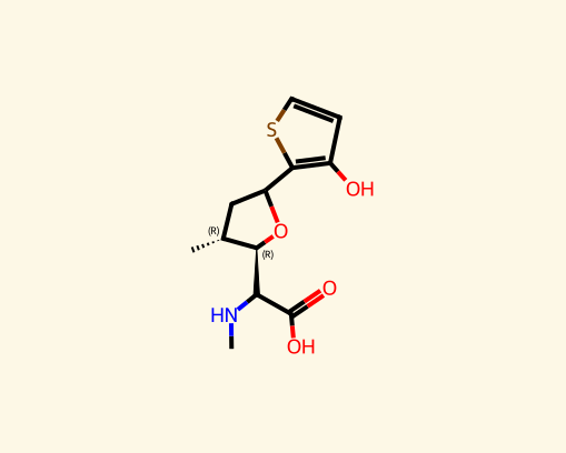 CNC(C(=O)O)[C@@H]1OC(c2sccc2O)C[C@H]1C